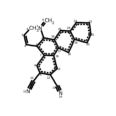 C=Nc1c(/C=C\C)c2cc(C#N)c(C#N)cc2c2cc3ccccc3cc12